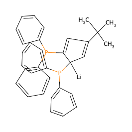 [Li][C]1(P(c2ccccc2)c2ccccc2)C=C(C(C)(C)C)C=C1P(c1ccccc1)c1ccccc1